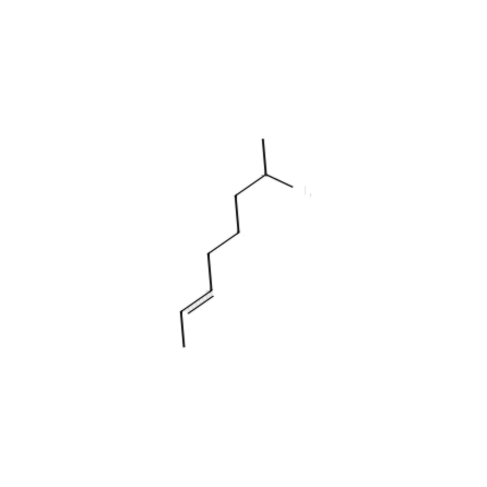 C/C=C/CCCC(C)Cl